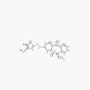 CCN1c2ncc(CCC3=CN(C)NO3)cc2C(=O)N(C)c2cccnc21